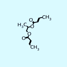 C/C=C/C(=O)OCC(C)OC(=O)/C=C/C